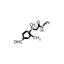 Cc1cc(C=O)ccc1N(C)CC(=O)NC(C)C